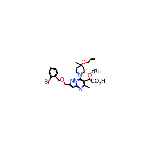 C=CCOC1(C)CCN(c2c(C(OC(C)(C)C)C(=O)O)c(C)nc3cc(COCc4ccccc4Br)nn23)CC1